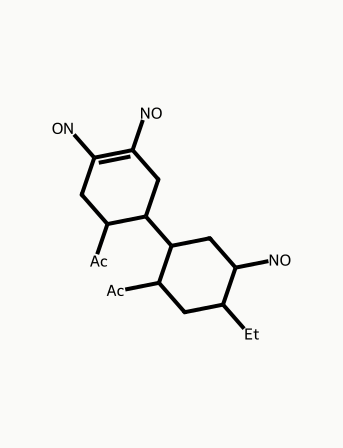 CCC1CC(C(C)=O)C(C2CC(N=O)=C(N=O)CC2C(C)=O)CC1N=O